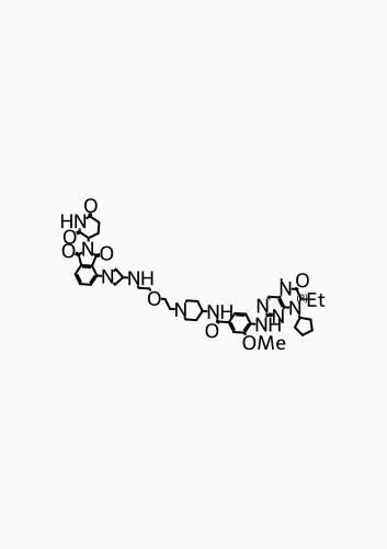 CC[C@@H]1C(=O)N(C)c2cnc(Nc3ccc(C(=O)NC4CCN(CCOCCNC5CN(c6cccc7c6C(=O)N(C6CCC(=O)NC6=O)C7=O)C5)CC4)cc3OC)nc2N1C1CCCC1